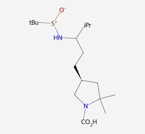 CC(C)C(CC[C@@H]1CN(C(=O)O)C(C)(C)C1)N[S+]([O-])C(C)(C)C